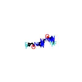 O=C(CC1CC(F)(F)C1)NCc1cnn2cc(CNC(=O)c3cnn(CC(F)(F)F)n3)nc2c1